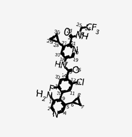 Nc1cncc(C2CC2)c1-c1cc(Cl)c(C(=O)Nc2cnc(C(=O)NCC(F)(F)F)c(C3CC3)c2)cc1F